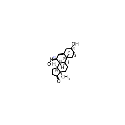 C[C@]12CC[C@H](O)CC1=C/C(=N/[O])[C@@H]1[C@@H]2CC[C@]2(C)C(=O)CC[C@@H]12